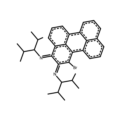 CC(C)C(N=c1c(Br)c2c3cccc4cccc(c5cccc(c1=NC(C(C)C)C(C)C)c52)c43)C(C)C